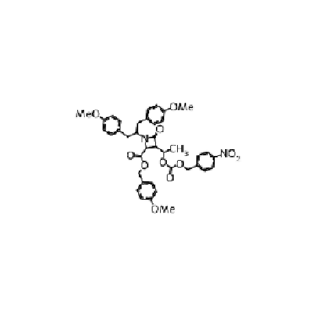 COc1ccc(COC(=O)C2C(C(C)OC(=O)OCc3ccc([N+](=O)[O-])cc3)C(=O)N2C(Cc2ccc(OC)cc2)Cc2ccc(OC)cc2)cc1